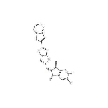 CCc1cc2c(cc1C)C(=O)/C(=C\c1cc3sc(-c4cc5ccccc5s4)cc3o1)C2=O